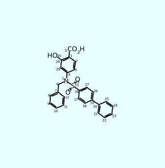 O=C(O)c1ccc(N(Cc2ccccc2)S(=O)(=O)c2ccc(-c3ccccc3)cc2)cc1O